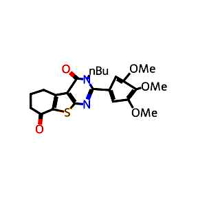 CCCCn1c(-c2cc(OC)c(OC)c(OC)c2)nc2sc3c(c2c1=O)CCCC3=O